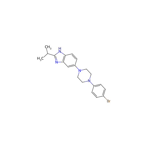 CC(C)c1nc2cc(N3CCN(c4ccc(Br)cc4)CC3)ccc2[nH]1